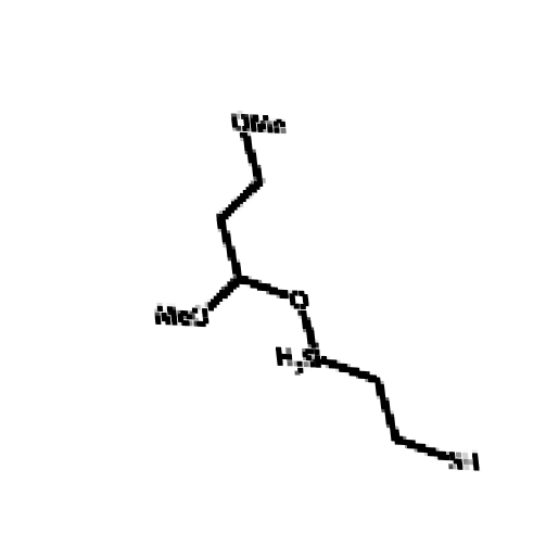 COCCC(OC)O[SiH2]CCS